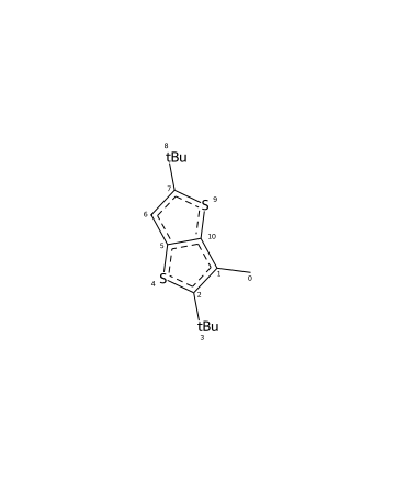 Cc1c(C(C)(C)C)sc2cc(C(C)(C)C)sc12